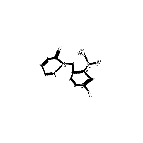 O=c1cccnn1Cc1ccc(F)cc1B(O)O